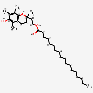 CCCCCCCCCCCCCCCCCC(=O)OCCC1(C)CCc2c(C)c(O)c(C)c(C)c2O1